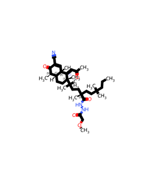 CCCC(C)(C)CC[C@@](C)(CCC(C)(C)[C@]1(C)CC[C@H]2[C@H](C)C(=O)C(C#N)=C[C@]2(C)/C1=C/C(C)=O)C(=O)NNC(=O)COC